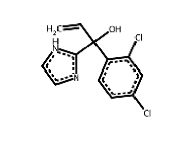 C=CC(O)(c1ncc[nH]1)c1ccc(Cl)cc1Cl